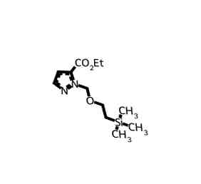 CCOC(=O)c1ccnn1COCC[Si](C)(C)C